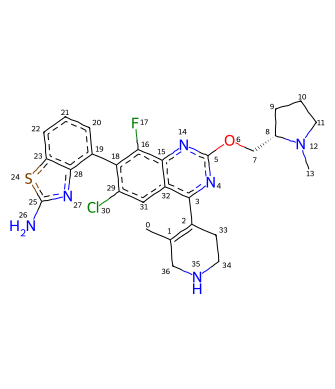 CC1=C(c2nc(OC[C@@H]3CCCN3C)nc3c(F)c(-c4cccc5sc(N)nc45)c(Cl)cc23)CCNC1